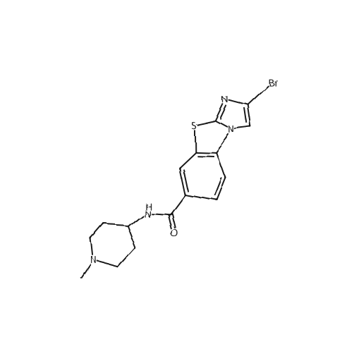 CN1CCC(NC(=O)c2ccc3c(c2)sc2nc(Br)cn23)CC1